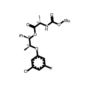 CC(C)[C@@H](OC(=O)[C@H](C)NC(=O)OC(C)(C)C)[C@H](C)Oc1cc(F)cc(Cl)c1